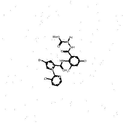 COC(=O)N(NC(=O)c1cc(Cl)cc(C)c1NC(=O)c1cc(Br)cn1-c1ncccc1Cl)C(C)=O